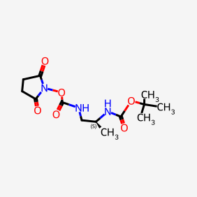 C[C@@H](CNC(=O)ON1C(=O)CCC1=O)NC(=O)OC(C)(C)C